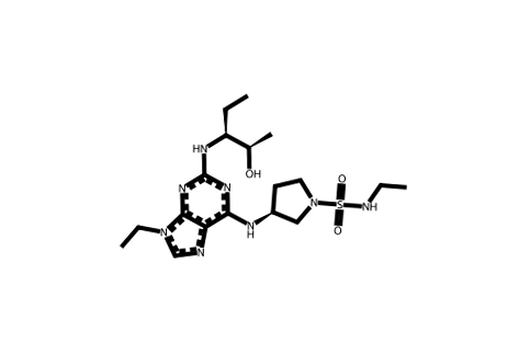 CCNS(=O)(=O)N1CC[C@H](Nc2nc(N[C@@H](CC)[C@@H](C)O)nc3c2ncn3CC)C1